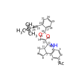 CC(=O)c1ccc2c(c1)C1C=CCC1C(C1=COC(c3ccccc3C#C[Si](C)(C)C)O1)N2